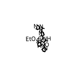 CCOC(=O)C1=C(c2ccc(-n3c(C)nc4cnccc43)nc2)NC(C)=C(C(=O)Nc2ccccn2)C1c1ccccc1Cl